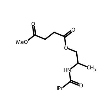 COC(=O)CCC(=O)OCC(C)NC(=O)C(C)C